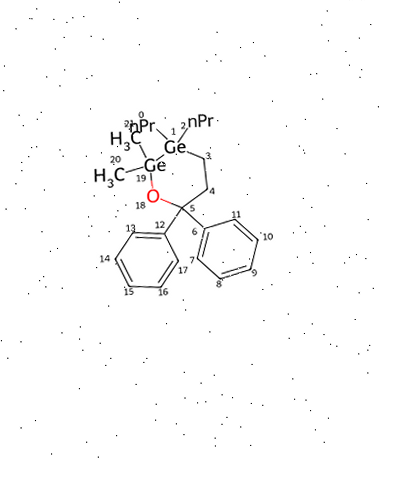 CC[CH2][Ge]1([CH2]CC)[CH2]CC(c2ccccc2)(c2ccccc2)[O][Ge]1([CH3])[CH3]